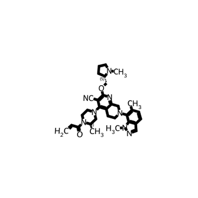 C=CC(=O)N1CCN(c2c(C#N)c(OC[C@@H]3CCCN3C)nc3c2CCN(c2c(C)ccc4cnn(C)c24)C3)C[C@H]1C